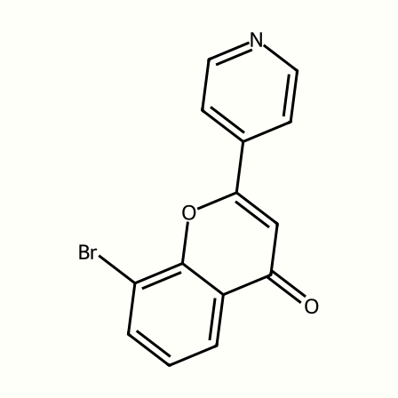 O=c1cc(-c2ccncc2)oc2c(Br)cccc12